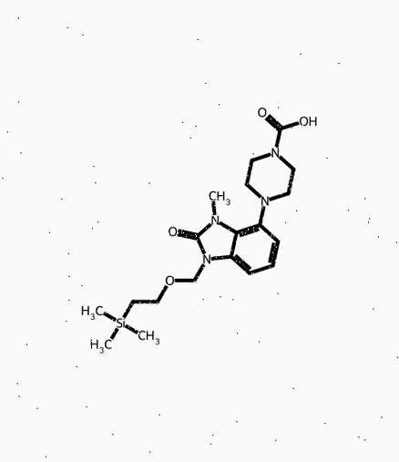 Cn1c(=O)n(COCC[Si](C)(C)C)c2cccc(N3CCN(C(=O)O)CC3)c21